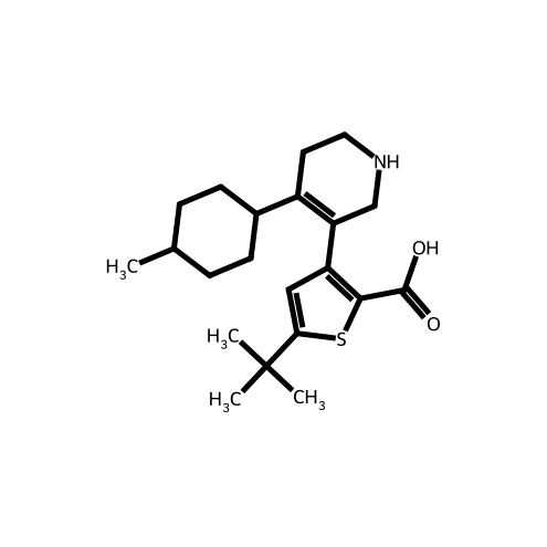 CC1CCC(C2=C(c3cc(C(C)(C)C)sc3C(=O)O)CNCC2)CC1